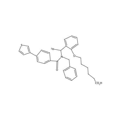 [2H]C(c1ccccc1OCCCCCC(=O)O)N(Cc1ccccc1)C(=O)c1ccc(-c2ccsc2)cc1